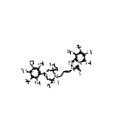 [2H]c1c([2H])c(Cl)c([2H])c(N2CC([2H])([2H])N(CCCn3nc4c([2H])c([2H])c([2H])c([2H])n4c3=O)C([2H])([2H])C2)c1[2H]